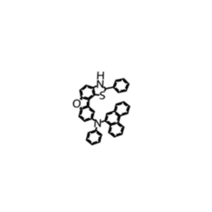 c1ccc(C2Nc3ccc4oc5ccc(N(c6ccccc6)c6cc7ccccc7c7ccccc67)cc5c4c3S2)cc1